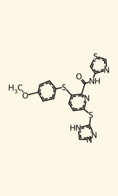 COc1ccc(Sc2ccc(Sc3nnc[nH]3)nc2C(=O)Nc2cscn2)cc1